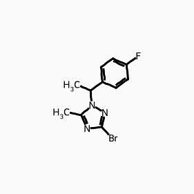 Cc1nc(Br)nn1C(C)c1ccc(F)cc1